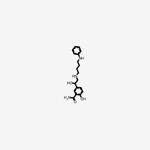 NC(=O)c1cc(C(O)CNCCCCNc2ccccc2)ccc1O